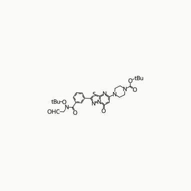 CC(C)(C)OC(=O)N1CCN(c2cc(=O)n3nc(-c4cccc(C(=O)N(CC=O)OC(C)(C)C)c4)sc3n2)CC1